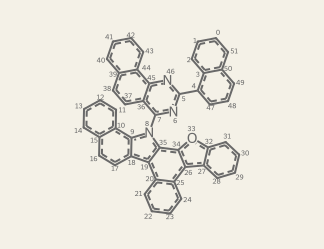 c1ccc2c(-c3nc(-n4c5c6ccccc6ccc5c5c6ccccc6c6c7ccccc7oc6c54)c4ccc5ccccc5c4n3)cccc2c1